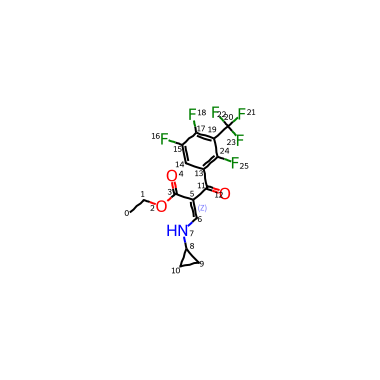 CCOC(=O)/C(=C\NC1CC1)C(=O)c1cc(F)c(F)c(C(F)(F)F)c1F